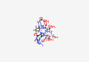 C[C@@H](O)[C@H](N)C(=O)N[C@@H](Cc1ccccc1)C(=O)O.Cn1c(N)nc2c(ncn2[C@@H]2O[C@H](CO)[C@@H](O)[C@H]2O)c1=O